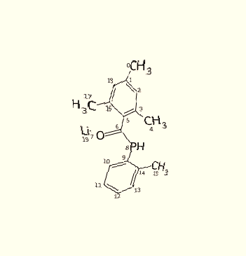 Cc1cc(C)c(C(=O)Pc2ccccc2C)c(C)c1.[Li]